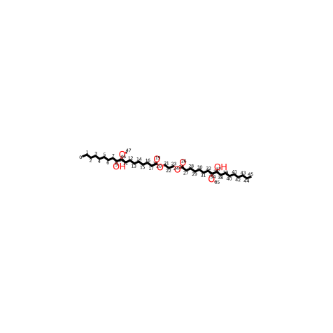 CCCCCCCCC(O)C(CCCCCCCC(=O)OCCCOC(=O)CCCCCCC(OC)C(O)CCCCCCCC)OC